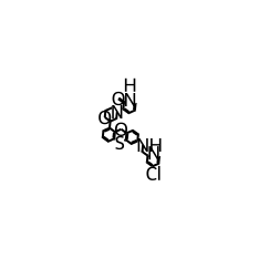 O=c1[nH]cccc1N1CCOC(c2cccc3c2Oc2ccc(NCc4cc(Cl)ccn4)cc2S3)C1